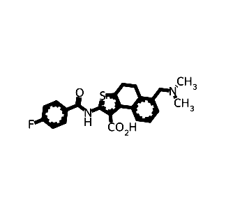 CN(C)Cc1cccc2c1CCc1sc(NC(=O)c3ccc(F)cc3)c(C(=O)O)c1-2